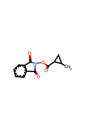 CC1CC1C(=O)ON1C(=O)c2ccccc2C1=O